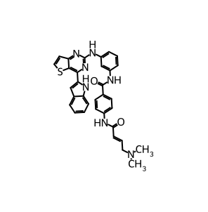 CN(C)C/C=C/C(=O)Nc1ccc(C(=O)Nc2cccc(Nc3nc(-c4cc5ccccc5[nH]4)c4sccc4n3)c2)cc1